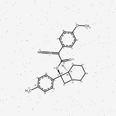 COc1ccc(C(=[N+]=N)C(=O)O[C@]2(c3ccc(C)cc3)CN3CCCC[C@@H]32)cc1